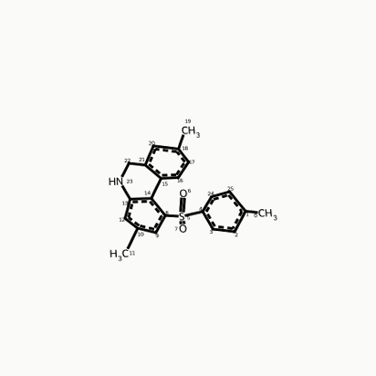 Cc1ccc(S(=O)(=O)c2cc(C)cc3c2-c2ccc(C)cc2CN3)cc1